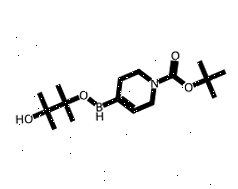 CC(C)(C)OC(=O)N1CC=C(BOC(C)(C)C(C)(C)O)CC1